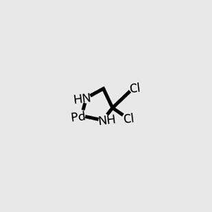 ClC1(Cl)C[NH][Pd][NH]1